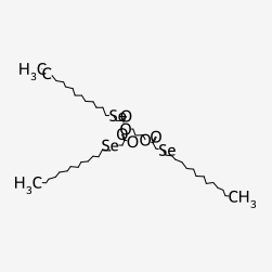 CCCCCCCCCCCCCC[Se]CC(=O)OCC(COC(=O)C[Se]CCCCCCCCCCCCCC)OC(=O)C[Se]CCCCCCCCCCCCCC